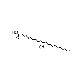 CCCCCCCCCCCCCCCCCCCCCC(=O)O.[Cd]